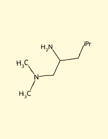 CC(C)CC(N)CN(C)C